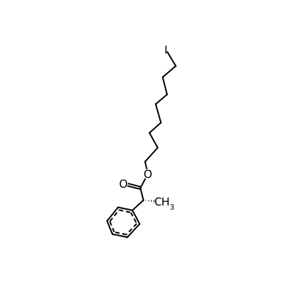 C[C@@H](C(=O)OCCCCCCCCI)c1ccccc1